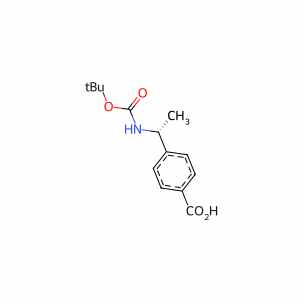 C[C@@H](NC(=O)OC(C)(C)C)c1ccc(C(=O)O)cc1